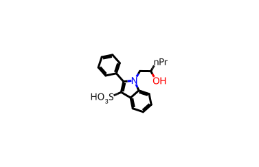 CCCC(O)Cn1c(-c2ccccc2)c(S(=O)(=O)O)c2ccccc21